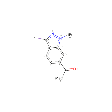 COC(=O)c1ccc2c(I)nn(C(C)C)c2c1